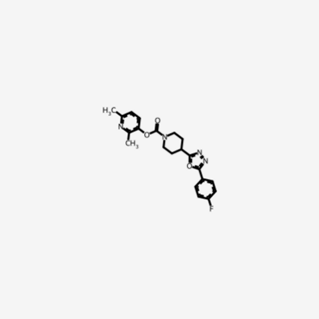 Cc1ccc(OC(=O)N2CCC(c3nnc(-c4ccc(F)cc4)o3)CC2)c(C)n1